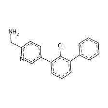 NCc1ccc(-c2cccc(-c3ccccc3)c2Cl)cn1